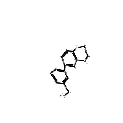 OCc1cccc(-c2ccc3c(c2)OCCO3)c1